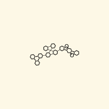 c1ccc2c(c1)-c1ccccc1C21c2cc(-c3ccc4oc5cc6c(cc5c4c3)oc3ccccc36)ccc2-c2ccc(-c3ccc4c5ccccc5c5ccccc5c4c3)cc21